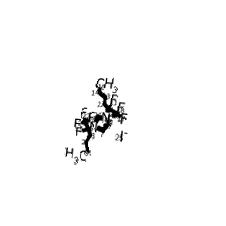 CCCCC(F)(n1cc[n+](C(F)(CCCC)C(F)(F)F)c1)C(F)(F)F.[I-]